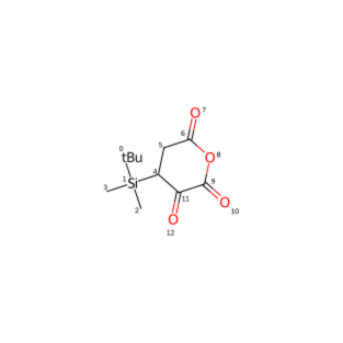 CC(C)(C)[Si](C)(C)C1CC(=O)OC(=O)C1=O